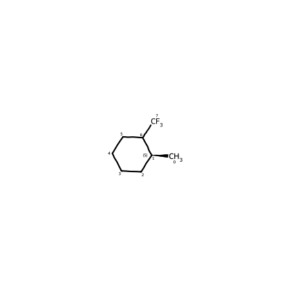 C[C@H]1CCCCC1C(F)(F)F